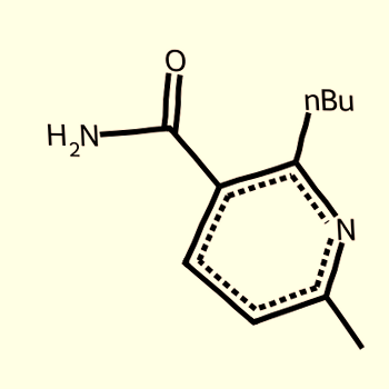 CCCCc1nc(C)ccc1C(N)=O